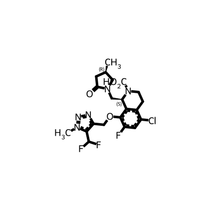 C[C@@H]1CC(=O)N(C[C@@H]2c3c(c(Cl)cc(F)c3OCc3nnn(C)c3C(F)F)CCN2C(=O)O)C1